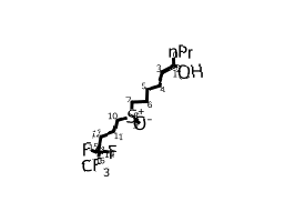 [CH2]CCC(O)CCCCC[S+]([O-])CCCC(F)(F)C(F)(F)F